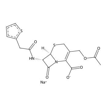 CC(=O)OCC1=C(C(=O)[O-])N2C(=O)[C@H](NC(=O)Cc3cccs3)[C@H]2SC1.[Na+]